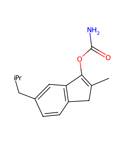 CC1=C(OC(N)=O)c2cc(CC(C)C)ccc2C1